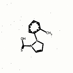 Cc1ccccc1N1CC=CN1C(O)=S